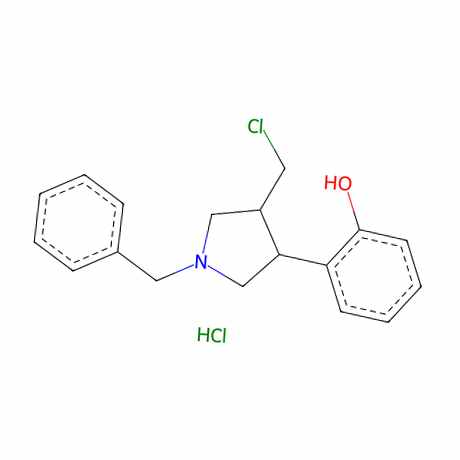 Cl.Oc1ccccc1C1CN(Cc2ccccc2)CC1CCl